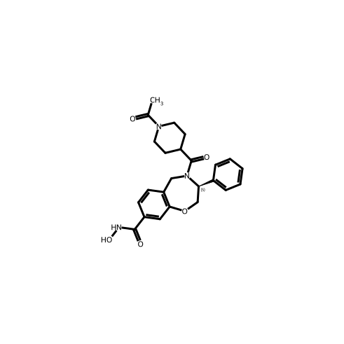 CC(=O)N1CCC(C(=O)N2Cc3ccc(C(=O)NO)cc3OC[C@@H]2c2ccccc2)CC1